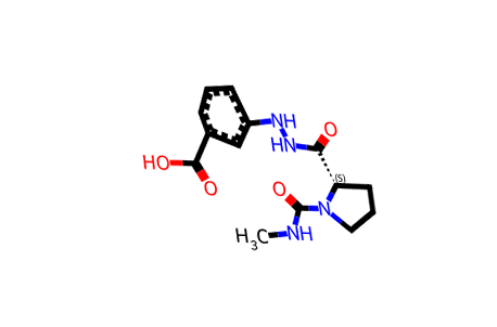 CNC(=O)N1CCC[C@H]1C(=O)NNc1cccc(C(=O)O)c1